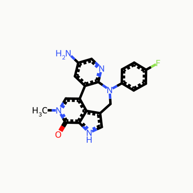 Cn1cc2c3c(c[nH]c3c1=O)CN(c1ccc(F)cc1)c1ncc(N)cc1-2